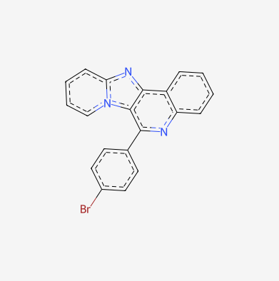 Brc1ccc(-c2nc3ccccc3c3nc4ccccn4c23)cc1